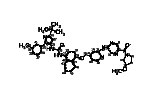 COC1CCN(C(=O)c2cnc(Nc3cc(COc4ccc(NC(=O)Nc5cc(C(C)(C)C)nn5-c5cccc(C)c5)c5ccccc45)ccn3)cn2)C1